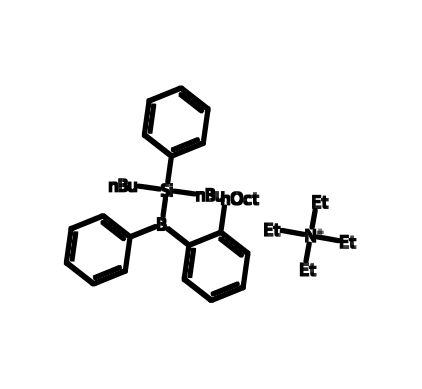 CCCCCCCCc1ccccc1B(c1ccccc1)[Si](CCCC)(CCCC)c1ccccc1.CC[N+](CC)(CC)CC